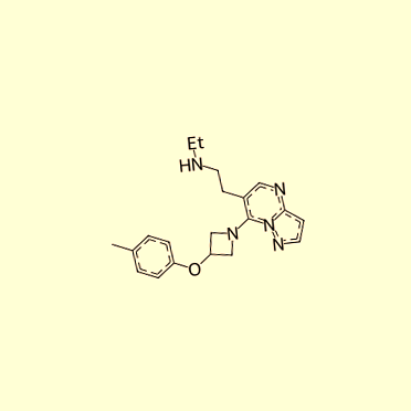 CCNCCc1cnc2ccnn2c1N1CC(Oc2ccc(C)cc2)C1